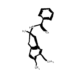 Cc1cc2c(cc1C)CC(C)(NC(=O)c1ccccc1)C2